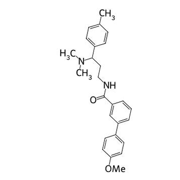 COc1ccc(-c2cccc(C(=O)NCCC(c3ccc(C)cc3)N(C)C)c2)cc1